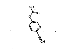 C#Cc1ccc(OC(N)=O)cn1